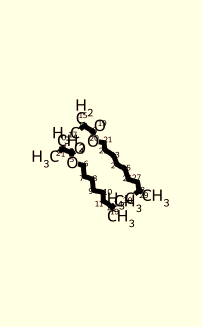 C=C(C)C(=O)OCCCCCCC(C)C.C=C(C)C(=O)OCCCCCCCC(C)C